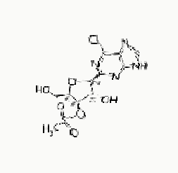 CS(=O)(=O)O[C@@H]1[C@@H](O)[C@H](c2nc(Cl)c3nc[nH]c3n2)O[C@@H]1CO